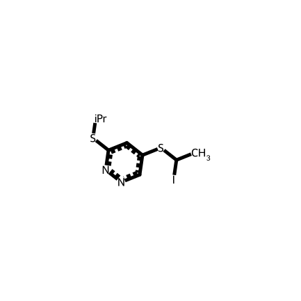 CC(C)Sc1cc(SC(C)I)cnn1